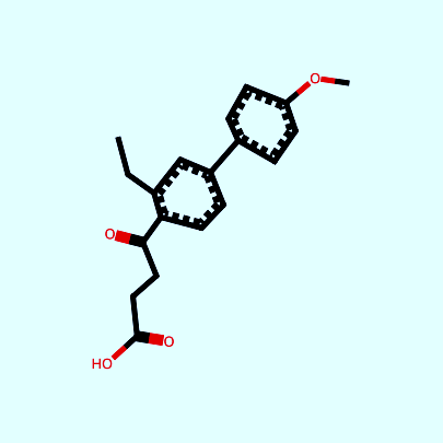 CCc1cc(-c2ccc(OC)cc2)ccc1C(=O)CCC(=O)O